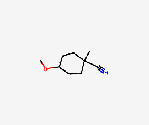 COC1CCC(C)(C#N)CC1